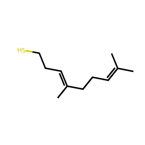 CC(C)=CCCC(C)=CCCS